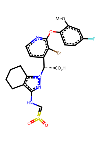 COc1cc(F)ccc1Oc1nccc([C@H](C(=O)O)n2nc(NC=S(=O)=O)c3c2CCCC3)c1Br